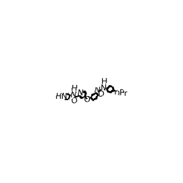 CCCc1ccc(Nc2nc3cc(Oc4ccnc(C(=O)N[C@@H]5CCNC5)c4)ccc3o2)cc1